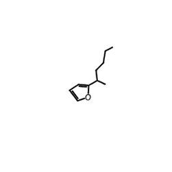 CCCCC(C)c1ccco1